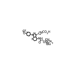 CC(C)(C)[Si](C)(C)OCC(=O)Nc1ccnc2c1c(C1CN(C(=O)O)C1)nn2-c1ccc(OC(F)(F)F)cc1